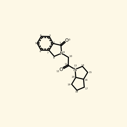 O=C1c2ccccc2CN1CC(=O)N1CCC2CCCC21